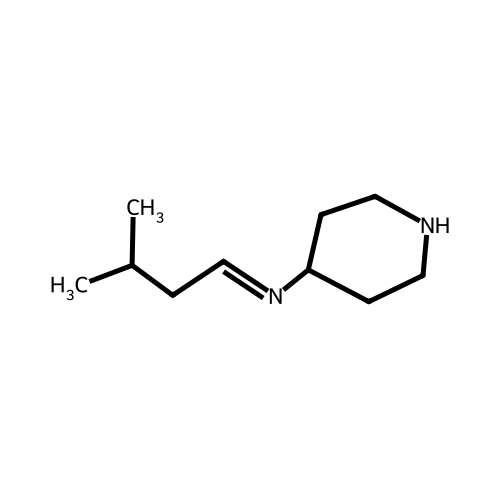 CC(C)CC=NC1CCNCC1